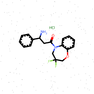 Cl.NC(CC(=O)N1CC(F)(F)COc2ccccc21)c1ccccc1